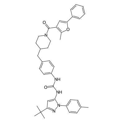 Cc1ccc(-n2nc(C(C)(C)C)cc2NC(=O)Nc2ccc(CC3CCN(C(=O)c4cc(-c5ccccc5)oc4C)CC3)cc2)cc1